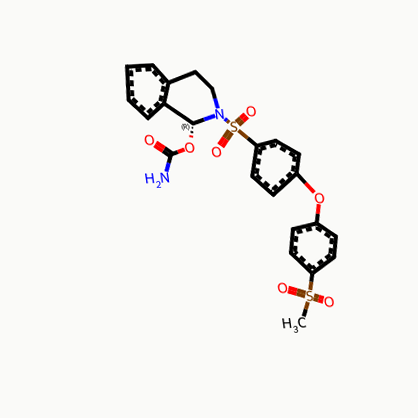 CS(=O)(=O)c1ccc(Oc2ccc(S(=O)(=O)N3CCc4ccccc4[C@H]3OC(N)=O)cc2)cc1